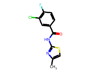 Cc1csc(NC(=O)c2ccc(F)c(Cl)c2)n1